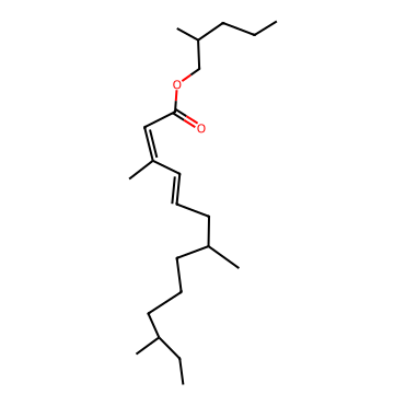 CCCC(C)COC(=O)C=C(C)C=CCC(C)CCCC(C)CC